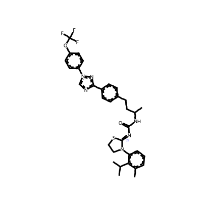 Cc1cccc(N2CCS/C2=N\C(=O)NC(C)CCc2ccc(-c3ncn(-c4ccc(OC(F)(F)F)cc4)n3)cc2)c1C(C)C